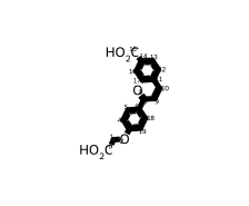 O=C(O)COc1ccc(C(=O)/C=C\c2ccc(C(=O)O)cc2)cc1